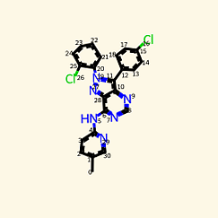 Cc1ccc(Nc2ncnc3c(-c4ccc(Cl)cc4)n(-c4ccccc4Cl)nc23)nc1